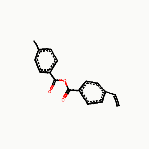 C=Cc1ccc(C(=O)OC(=O)c2ccc(C)cc2)cc1